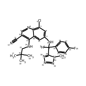 [2H]C(Nc1cc(Cl)c2ncc(C#N)c(NCC(C)(C)C)c2c1)(c1ccc(F)cc1)c1nnnn1C